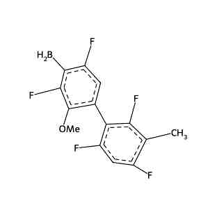 Bc1c(F)cc(-c2c(F)cc(F)c(C)c2F)c(OC)c1F